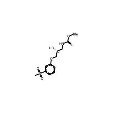 CC(C)(C)OC(=O)NC[C@@H](O)COc1cccc(S(C)(=O)=O)c1